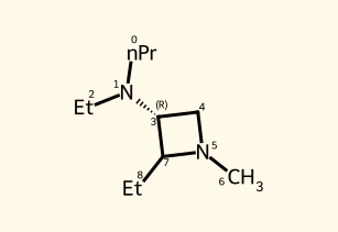 CCCN(CC)[C@@H]1CN(C)C1CC